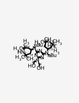 CCCCN(c1nc(N(CO)CO)nc(N(CCCC)C2CC(C)(C)NC(C)(C)C2)n1)C1CC(C)(C)NC(C)(C)C1